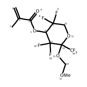 C=C(C)C(=O)OC1C(F)(F)COC(OCOC)(C(F)(F)F)C1(F)F